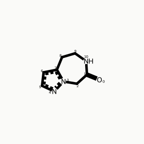 O=C1Cn2nccc2CCN1